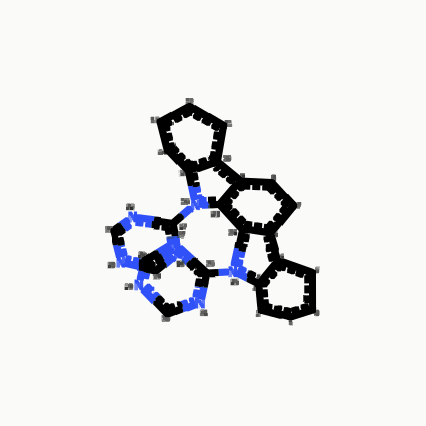 c1ccc2c(c1)c1ccc3c4ccccc4n(-c4ncncn4)c3c1n2-c1ncncn1